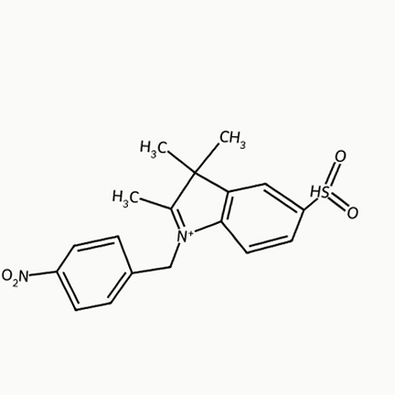 CC1=[N+](Cc2ccc([N+](=O)[O-])cc2)c2ccc([SH](=O)=O)cc2C1(C)C